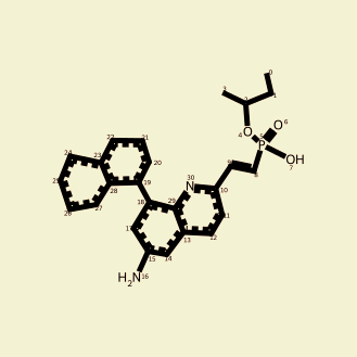 CCC(C)OP(=O)(O)C=Cc1ccc2cc(N)cc(-c3cccc4ccccc34)c2n1